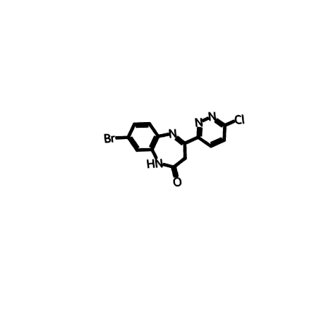 O=C1CC(c2ccc(Cl)nn2)=Nc2ccc(Br)cc2N1